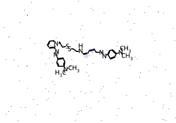 CN(C)c1ccc(/N=N/C/C=C\C=C/NCCSSCC[n+]2ccccc2/N=N/c2ccc(N(C)C)cc2)cc1